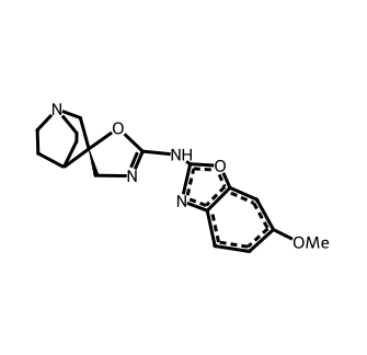 COc1ccc2nc(NC3=NC[C@@]4(CN5CCC4CC5)O3)oc2c1